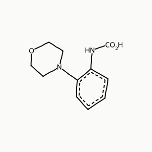 O=C(O)Nc1ccccc1N1CCOCC1